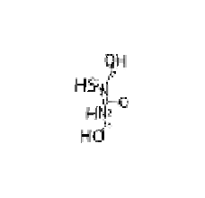 O=C(NCO)N(S)CO